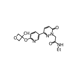 CCNC(=O)Cn1nc(-c2ccc(OC3(C)COC3)nc2)ccc1=O